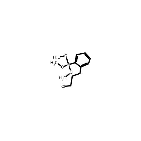 CO[Si](OC)(OC)c1ccccc1CCCCl